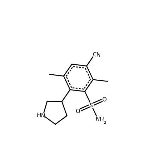 Cc1cc(C#N)c(C)c(S(N)(=O)=O)c1C1CCNC1